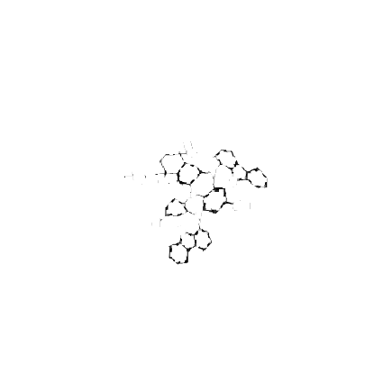 Cc1cc2c3c(c1)N(c1cccc4c1oc1ccccc14)c1cc4c(cc1B3c1ccc(Cl)cc1N2c1cccc2c1oc1ccccc12)C(C)(C)CCC4(C)C